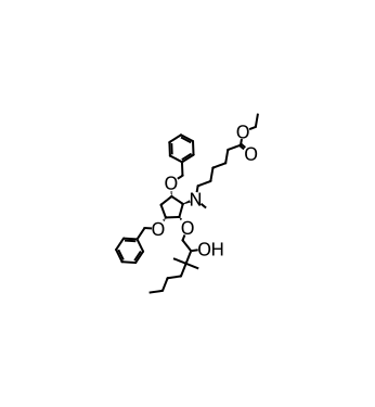 CCCCC(C)(C)C(O)CO[C@H]1[C@H](N(C)CCCCCC(=O)OCC)[C@@H](OCc2ccccc2)C[C@H]1OCc1ccccc1